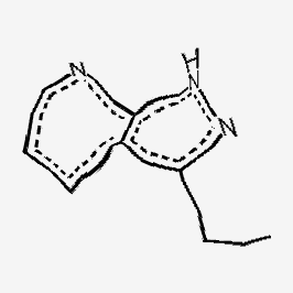 CCc1n[nH]c2ncccc12